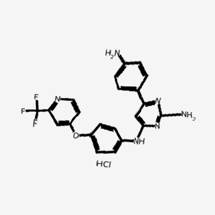 Cl.Nc1ccc(-c2cc(Nc3ccc(Oc4ccnc(C(F)(F)F)c4)cc3)nc(N)n2)cc1